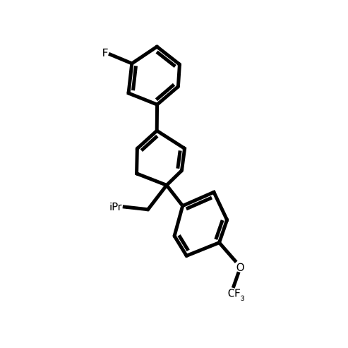 CC(C)CC1(c2ccc(OC(F)(F)F)cc2)C=CC(c2cccc(F)c2)=CC1